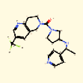 CC(NC1CCN(C(=O)N2CCc3ncc(C(F)(F)F)cc3C2)C1)c1ccncc1